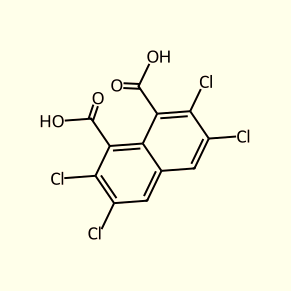 O=C(O)c1c(Cl)c(Cl)cc2cc(Cl)c(Cl)c(C(=O)O)c12